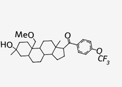 COCC12CCC(C)(O)CC1CCC1C3CCC(C(=O)c4ccc(OC(F)(F)F)cc4)C3(C)CCC12